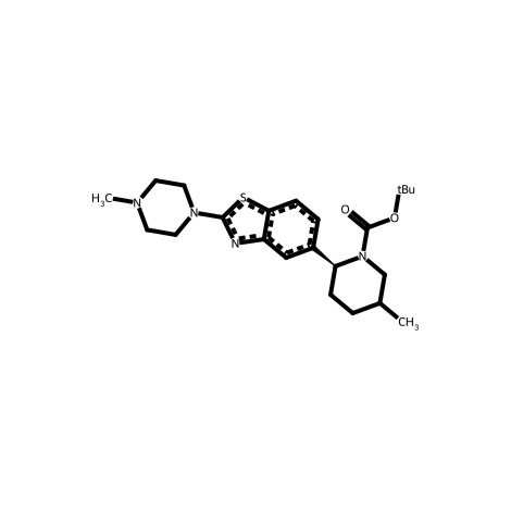 CC1CC[C@@H](c2ccc3sc(N4CCN(C)CC4)nc3c2)N(C(=O)OC(C)(C)C)C1